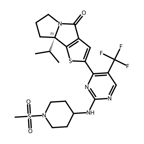 CC(C)[C@]12CCCN1C(=O)c1cc(-c3nc(NC4CCN(S(C)(=O)=O)CC4)ncc3C(F)(F)F)sc12